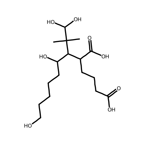 CC(C)(C(O)O)C(C(O)CCCCCO)C(CCCC(=O)O)C(=O)O